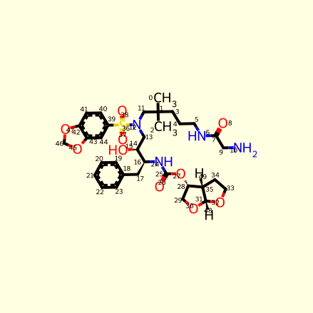 CC(C)(CCCNC(=O)CN)CN(C[C@H](O)[C@H](Cc1ccccc1)NC(=O)O[C@H]1CO[C@H]2OCC[C@H]21)S(=O)(=O)c1ccc2c(c1)OCO2